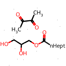 CC(=O)C(C)=O.CCCCCCCC(=O)OCC(O)CO